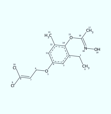 CCc1cc(OCC=C(Cl)Cl)cc(C)c1OC(C)=NO